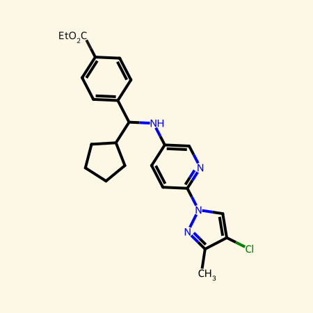 CCOC(=O)c1ccc(C(Nc2ccc(-n3cc(Cl)c(C)n3)nc2)C2CCCC2)cc1